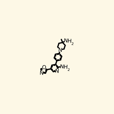 CC1(N)CCN(c2ccc(-c3cc(-c4cnco4)cnc3N)cc2)CC1